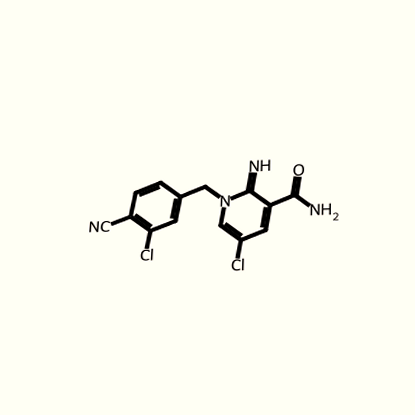 N#Cc1ccc(Cn2cc(Cl)cc(C(N)=O)c2=N)cc1Cl